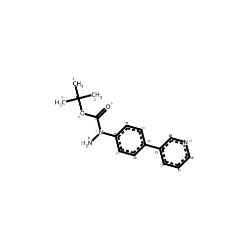 CC(C)(C)OC(=O)N(N)c1ccc(-c2cccnc2)cc1